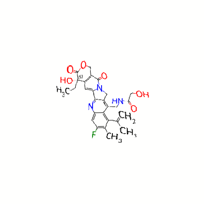 C=C(C)c1c(C)c(F)cc2nc3c(c(CNC(=O)CO)c12)Cn1c-3cc2c(c1=O)COC(=O)[C@]2(O)CC